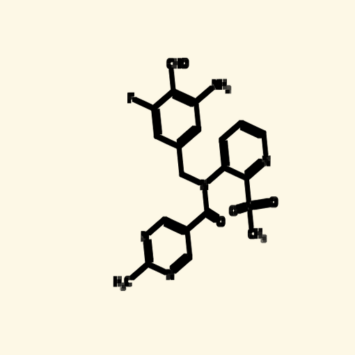 Cc1ncc(C(=O)N(Cc2cc(N)c(C=O)c(F)c2)c2cccnc2S(C)(=O)=O)cn1